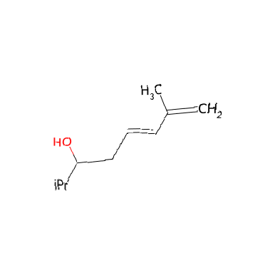 C=C(C)C=CCC(O)C(C)C